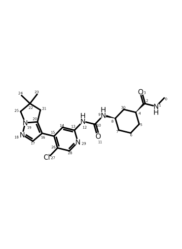 CNC(=O)[C@H]1CCC[C@@H](NC(=O)Nc2cc(-c3cnn4c3CC(C)(C)C4)c(Cl)cn2)C1